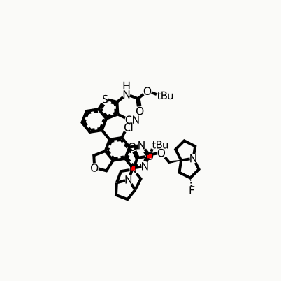 CC(C)(C)OC(=O)Nc1sc2cccc(-c3c4c(c5c(N6C7CCC6CN(C(=O)OC(C)(C)C)C7)nc(OC[C@@]67CCCN6C[C@H](F)C7)nc5c3Cl)COC4)c2c1C#N